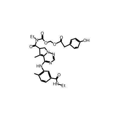 CCNC(=O)c1ccc(C)c(NC2=NC=NN3CC(C(=O)N(CC)C(=O)OCOC(=O)Cc4ccc(O)cc4)C(C)=C23)c1